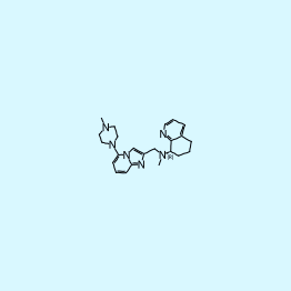 CN1CCN(c2cccc3nc(CN(C)[C@@H]4CCCc5cccnc54)cn23)CC1